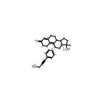 CC1(O)CCC2C3CCC4=CC(=O)CCC4=C3[C@@H](c3ccc(C#CCO)cc3)C[C@@]21C